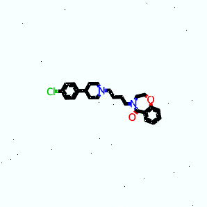 O=C1c2ccccc2OCCN1CCCCN1CCC(c2ccc(Cl)cc2)CC1